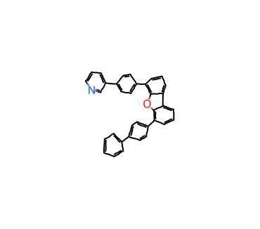 c1ccc(-c2ccc(-c3cccc4c3oc3c(-c5ccc(-c6cccnc6)cc5)cccc34)cc2)cc1